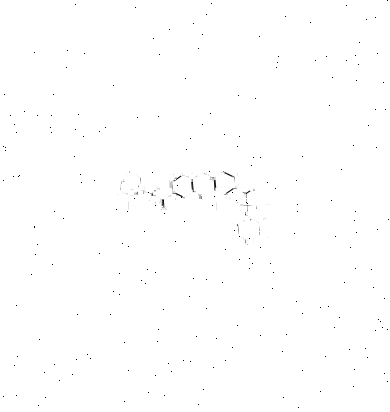 CC(C)(C(=O)c1ccc2c(c1)Oc1cc(C(=O)C(C)(C)N3CCOCC3)ccc1S2)N1CCOCC1